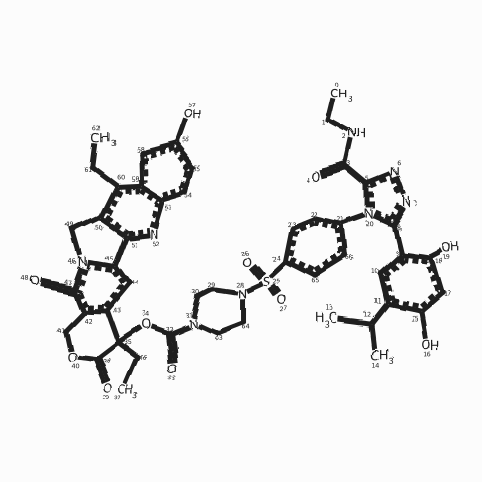 CCNC(=O)c1nnc(-c2cc(C(C)C)c(O)cc2O)n1-c1ccc(S(=O)(=O)N2CCN(C(=O)OC3(CC)C(=O)OCc4c3cc3n(c4=O)Cc4c-3nc3ccc(O)cc3c4CC)CC2)cc1